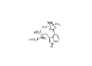 CCOC(=O)N[C@@H](Cc1c[nH]c2cccc(B3OC(C)(C)C(C)(C)O3)c12)C(=O)O